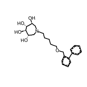 O[C@H]1[C@H](O)[C@@H](O)CN(CCCCCOCc2ccccc2-c2ccccc2)C[C@@H]1O